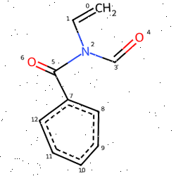 C=CN(C=O)C(=O)c1ccccc1